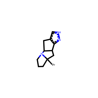 CC(C)C12CCCN1C1Cc3c[nH]nc3C1C2